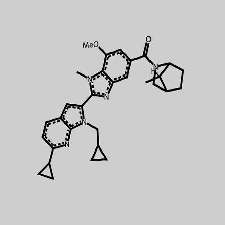 COc1cc(C(=O)N2CC3CCC2[C@@H]3C)cc2nc(-c3cc4ccc(C5CC5)nc4n3CC3CC3)n(C)c12